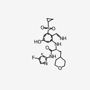 N=Cc1c(N[C@@H](CC2CCOCC2)C(=O)Nc2ncc(F)s2)cc(O)cc1S(=O)(=O)C1CC1